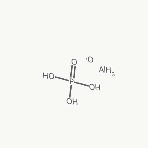 O=P(O)(O)O.[AlH3].[O]